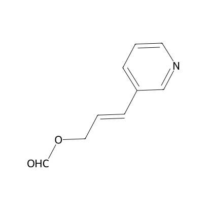 O=COCC=Cc1cccnc1